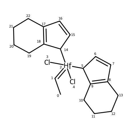 C[CH]=[Hf]([Cl])([Cl])([CH]1C=CC2=C1CCCC2)[CH]1C=CC2=C1CCCC2